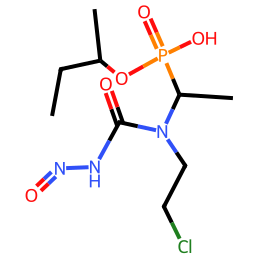 CCC(C)OP(=O)(O)C(C)N(CCCl)C(=O)NN=O